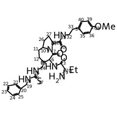 CC[C@H](N)C(=O)NC1C(=O)N2C(CC[C@@H]1CNC(=S)NCc1ccccc1)CC[C@H]2C(=O)NCCc1ccc(OC)cc1